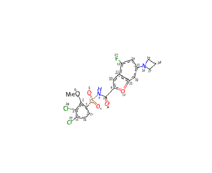 COc1c(S(=O)(=O)NC(=O)c2cc3c(F)cc(N4CCC4)cc3o2)ccc(Cl)c1Cl